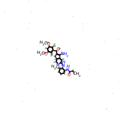 C=CC(=O)Nc1cccc(C)c1Nc1cc2c(cn1)CC(C(=O)c1c(F)c(OC)cc(OC)c1F)=C2N